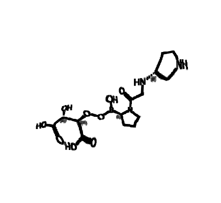 O=C(O)[C@H](O)[C@@H](OOB(O)[C@@H]1CCCN1C(=O)CN[C@@H]1CCNC1)C(=O)O